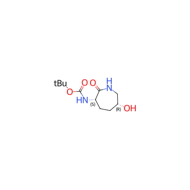 CC(C)(C)OC(=O)N[C@H]1CC[C@@H](O)CNC1=O